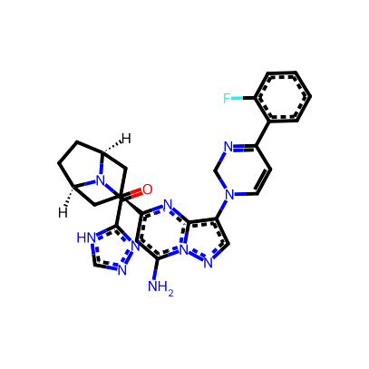 Nc1cc([C@H]2C[C@H]3CC[C@@H](C2)N3C(=O)c2nnc[nH]2)nc2c(N3C=CC(c4ccccc4F)=NC3)cnn12